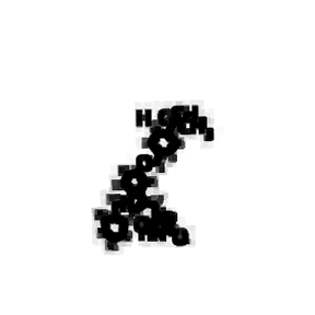 CC(C)(C)c1ccc(COc2ccc3c(c2)c(Cn2oc(=O)[nH]c2=O)cn3Cc2ccccc2)cc1